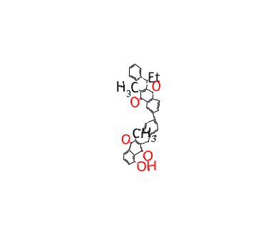 CCC(C1=C(C)C(=O)c2cc(-c3ccc(CC4=C(C)C(=O)c5cccc(O)c5C4=O)cc3)ccc2C1=O)c1ccccc1